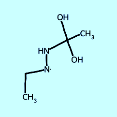 CC[N]NC(C)(O)O